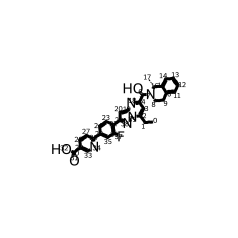 CCc1cc(C(O)N2CCc3ccccc3[C@H]2C)nc2cc(-c3ccc(-c4ccc(C(=O)O)cn4)cc3F)nn12